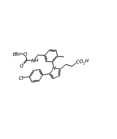 Cc1ccc(CNC(=O)OC(C)(C)C)cc1-n1c(CCC(=O)O)ccc1-c1ccc(Cl)cc1